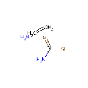 C=C.N.NC(=S)S